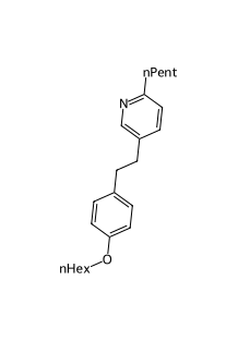 CCCCCCOc1ccc(CCc2ccc(CCCCC)nc2)cc1